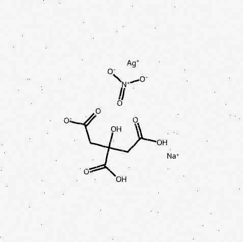 O=C([O-])CC(O)(CC(=O)O)C(=O)O.O=[N+]([O-])[O-].[Ag+].[Na+]